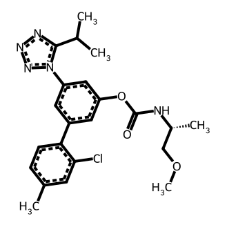 COC[C@@H](C)NC(=O)Oc1cc(-c2ccc(C)cc2Cl)cc(-n2nnnc2C(C)C)c1